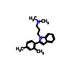 Cc1ccc(-c2cc3ccccc3n2CCCN(C)C)c(C)c1